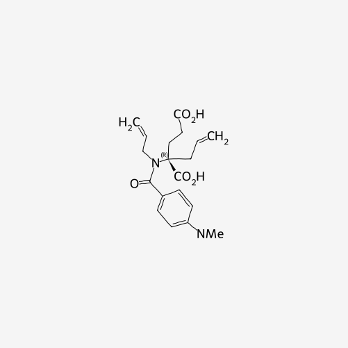 C=CCN(C(=O)c1ccc(NC)cc1)[C@@](CC=C)(CCC(=O)O)C(=O)O